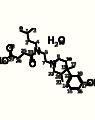 CC(C)CCN(CCN1CCC(C)(c2cccc(O)c2)C(C)C1)C(=O)CCC(=O)O.O